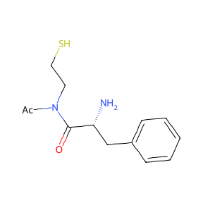 CC(=O)N(CCS)C(=O)[C@H](N)Cc1ccccc1